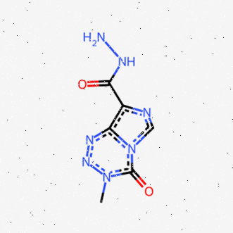 Cn1nnc2c(C(=O)NN)ncn2c1=O